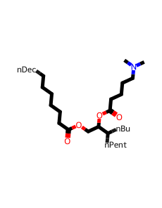 CCCCCCCCCCCCCCCCC(=O)OCC(OC(=O)CCCCN(C)C)C(CCCC)CCCCC